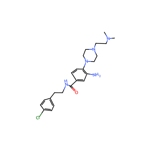 CN(C)CCN1CCN(c2ccc(C(=O)NCCc3ccc(Cl)cc3)cc2N)CC1